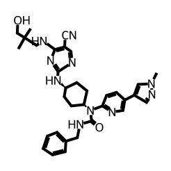 Cn1cc(-c2ccc(N(C(=O)NCc3ccccc3)[C@H]3CC[C@H](Nc4ncc(C#N)c(NCC(C)(C)CO)n4)CC3)nc2)cn1